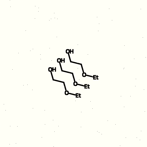 CCOCCO.CCOCCO.CCOCCO